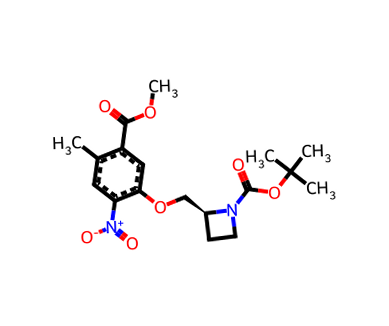 COC(=O)c1cc(OC[C@@H]2CCN2C(=O)OC(C)(C)C)c([N+](=O)[O-])cc1C